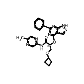 Cc1cnc(NC(=O)[C@H](COC2CCC2)Oc2nc(-c3ccccc3)nc3[nH]ncc23)cn1